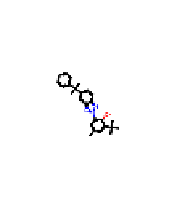 Cc1cc(-n2nc3ccc(C(C)(C)c4ccccc4)cc3n2)c(O)c(C(C)(C)C)c1